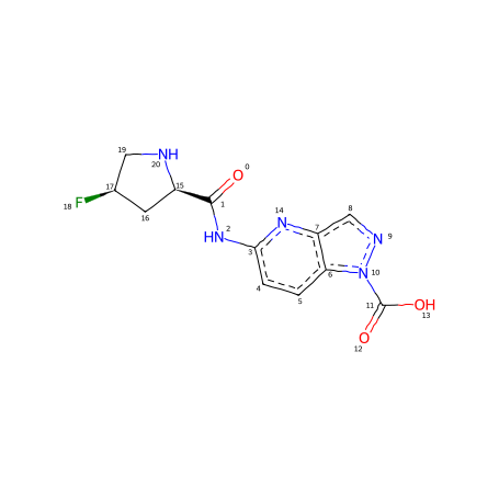 O=C(Nc1ccc2c(cnn2C(=O)O)n1)[C@H]1C[C@@H](F)CN1